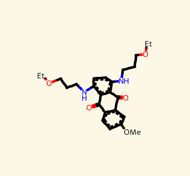 CCOCCCNc1ccc(NCCCOCC)c2c1C(=O)c1ccc(OC)cc1C2=O